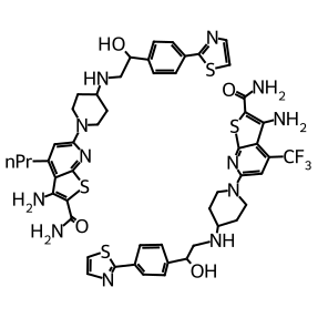 CCCc1cc(N2CCC(NCC(O)c3ccc(-c4nccs4)cc3)CC2)nc2sc(C(N)=O)c(N)c12.NC(=O)c1sc2nc(N3CCC(NCC(O)c4ccc(-c5nccs5)cc4)CC3)cc(C(F)(F)F)c2c1N